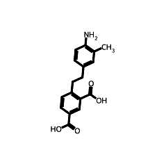 Cc1cc(CCc2ccc(C(=O)O)cc2C(=O)O)ccc1N